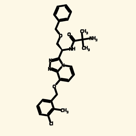 Cc1c(Cl)cccc1COc1cccn2c([C@@H](COCc3ccccc3)NC(=O)C(C)(C)N)nnc12